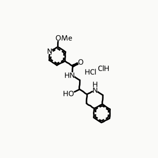 COc1cc(C(=O)NCC(O)C2Cc3ccccc3CN2)ccn1.Cl.Cl